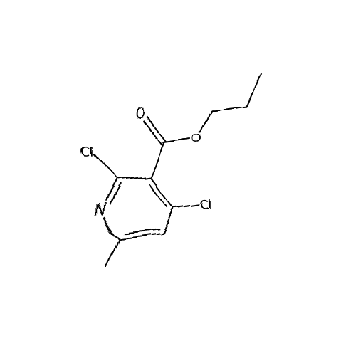 CCCOC(=O)c1c(Cl)cc(C)nc1Cl